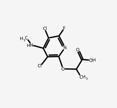 CNc1c(Cl)c(F)nc(OC(C)C(=O)O)c1Cl